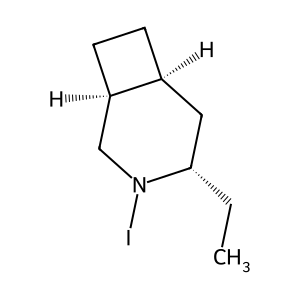 CC[C@H]1C[C@@H]2CC[C@@H]2CN1I